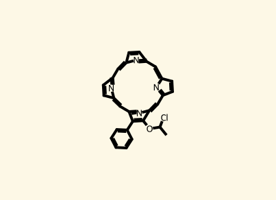 CC(Cl)OC1=C(c2ccccc2)C2=NC1=CC1=NC(=CC3=NC(=CC4=NC(=C2)C=C4)C=C3)C=C1